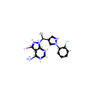 CCC(c1cnn(-c2ccccc2F)c1)n1nc(I)c2c(N)ncnc21